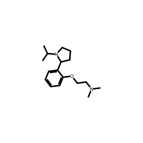 CC(C)N1CCCC1c1ccccc1OCCN(C)C